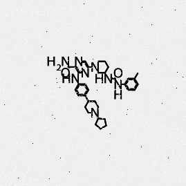 Cc1cccc(NC(=O)N[C@@H]2CCCN(c3cnc(C(N)=O)c(Nc4ccc(C5CCN(C6CCCC6)CC5)cc4)n3)C2)c1